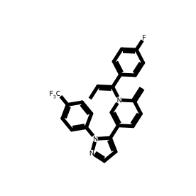 C=C1C=CC(c2ccnn2-c2ccc(C(F)(F)F)cc2)=CN1/C(=C\C)c1ccc(F)cc1